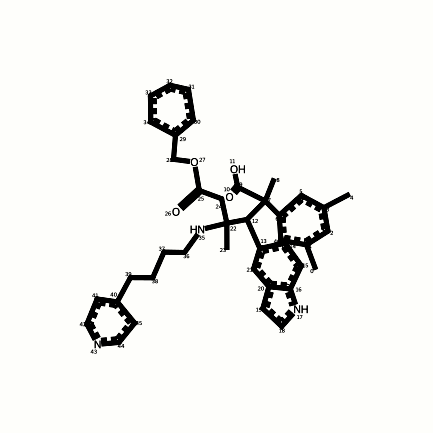 Cc1cc(C)cc(C(C)(C(=O)O)C(c2ccc3[nH]ccc3c2)C(C)(CC(=O)OCc2ccccc2)NCCCCc2ccncc2)c1